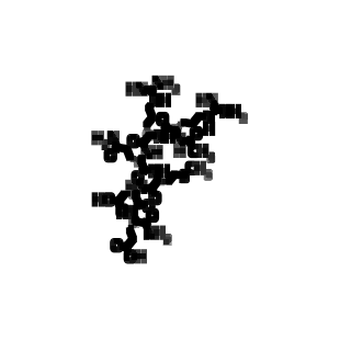 CSCC[C@@H](NC(=O)[C@H](CCC(N)=O)NC(=O)[C@H](CCCNC(=N)N)NC(=O)[C@H](CCCNC(=N)N)NC(C)=O)C(=O)N[C@@H](CC(=O)O)C(=O)N[C@@H](CCC(=O)O)C(N)=O